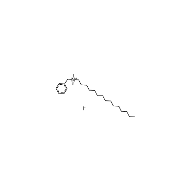 CCCCCCCCCCCCCCC[N+](C)(C)Cc1ccccc1.[I-]